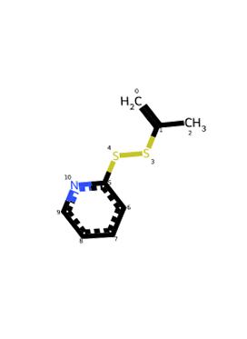 C=C(C)SSc1ccccn1